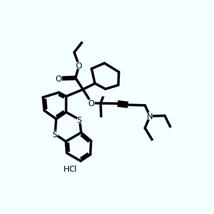 CCOC(=O)C(OC(C)(C)C#CCN(CC)CC)(c1cccc2c1Sc1ccccc1S2)C1CCCCC1.Cl